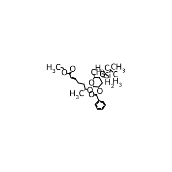 CCOC(=O)/C=C/CC[C@@H](C)O[C@@H]1O[C@@H](C)[C@H](O[SiH2]C(C)(C)C)C[C@H]1OC(=O)c1ccccc1